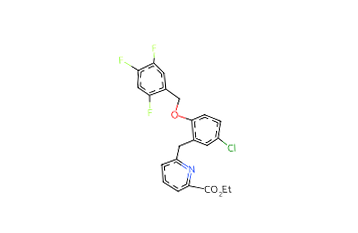 CCOC(=O)c1cccc(Cc2cc(Cl)ccc2OCc2cc(F)c(F)cc2F)n1